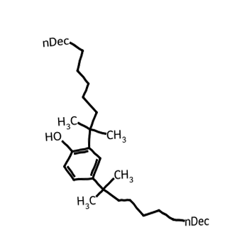 CCCCCCCCCCCCCCCC(C)(C)c1ccc(O)c(C(C)(C)CCCCCCCCCCCCCCC)c1